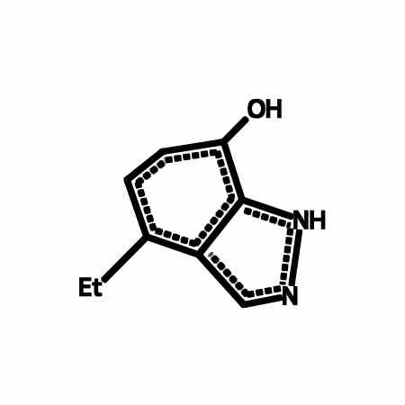 CCc1ccc(O)c2[nH]ncc12